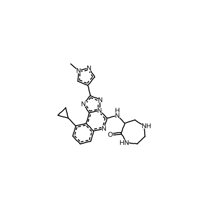 Cn1cc(-c2nc3c4c(C5CC5)cccc4nc(NC4CNCCNC4=O)n3n2)cn1